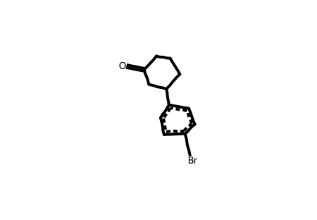 O=C1CCCC(c2ccc(Br)cc2)C1